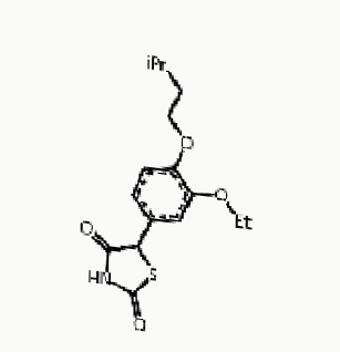 CCOc1cc(C2SC(=O)NC2=O)ccc1OCCC(C)C